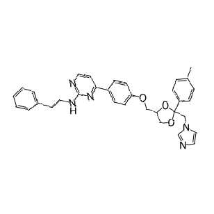 Cc1ccc(C2(Cn3ccnc3)OCC(COc3ccc(-c4ccnc(NCCc5ccccc5)n4)cc3)O2)cc1